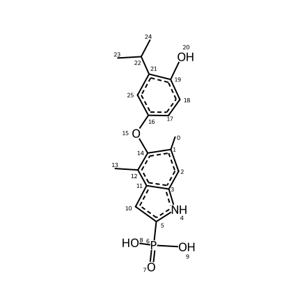 Cc1cc2[nH]c(P(=O)(O)O)cc2c(C)c1Oc1ccc(O)c(C(C)C)c1